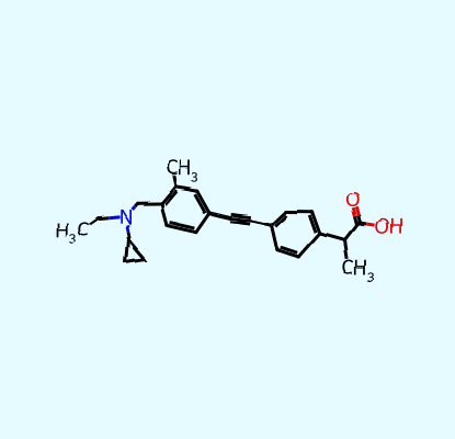 CCN(Cc1ccc(C#Cc2ccc(C(C)C(=O)O)cc2)cc1C)C1CC1